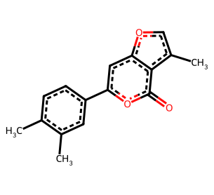 Cc1ccc(-c2cc3occ(C)c3c(=O)o2)cc1C